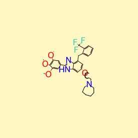 COc1cc(-c2nc3c(Cc4ccccc4C(F)(F)F)cc(OCCN4CCCCCC4)cc3[nH]2)cc(OC)c1OC